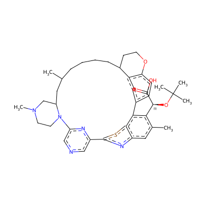 Cc1cc2nc3sc2c(c1[C@H](OC(C)(C)C)C(=O)O)-c1ccc2c(c1)C(CCCCC(C)CC1CN(C)CCN1c1cncc-3n1)CCO2